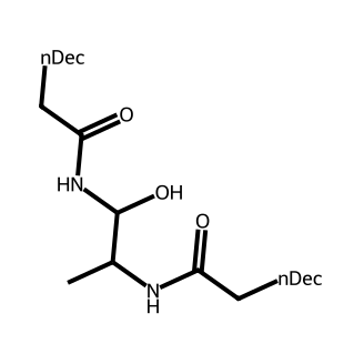 CCCCCCCCCCCC(=O)NC(C)C(O)NC(=O)CCCCCCCCCCC